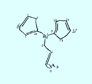 C=C[CH2][Ru]([C]1=CC=CC1)[C]1=CC=CC1